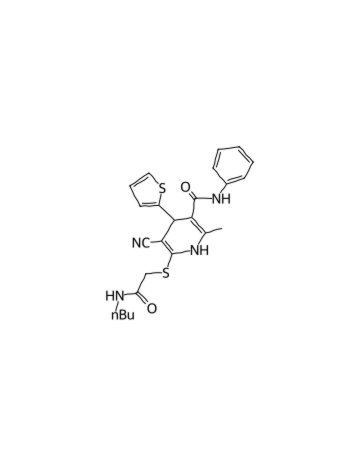 CCCCNC(=O)CSC1=C(C#N)C(c2cccs2)C(C(=O)Nc2ccccc2)=C(C)N1